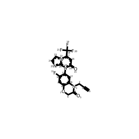 C#CCN1C(=O)COc2cc(F)c(-n3c(=O)cc(C(F)(F)F)n4ccnc34)cc21